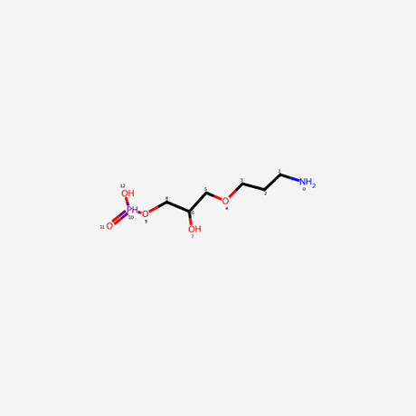 NCCCOCC(O)CO[PH](=O)O